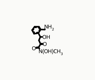 CN(O)C(=O)C(=O)CC(O)c1ccccc1CN